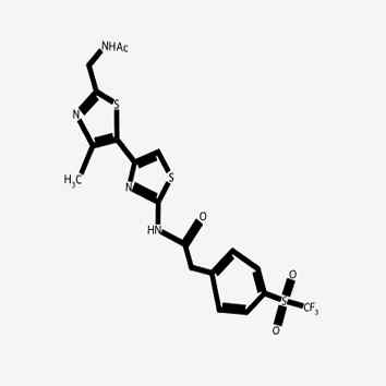 CC(=O)NCc1nc(C)c(-c2csc(NC(=O)Cc3ccc(S(=O)(=O)C(F)(F)F)cc3)n2)s1